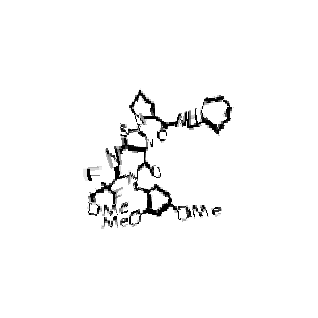 COCC(F)(F)c1nc2sc(N3CCCC3C(=O)NCc3ccccc3)nc2c(=O)n1Cc1ccc(OC)cc1OC